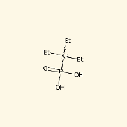 C[CH2][Al-]([CH2]C)([CH2]C)[P](=O)(O)O